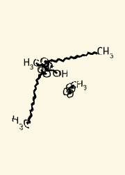 CCCCCCCCC=CCCCCCCCC(=O)O[N+](CCC)(CCO)OC(=O)CCCCCCCC=CCCCCCCCC.COS(=O)(=O)[O-]